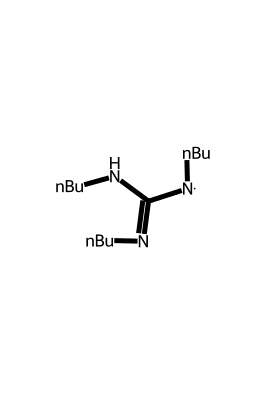 CCCC[N]C(=NCCCC)NCCCC